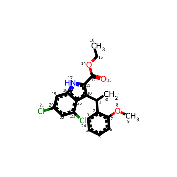 [CH2]C(c1ccccc1OC)c1c(C(=O)OCC)[nH]c2cc(Cl)cc(Cl)c12